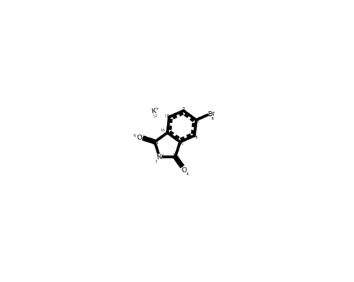 O=C1[N-]C(=O)c2cc(Br)ccc21.[K+]